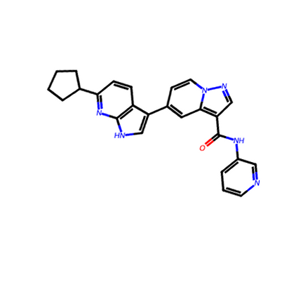 O=C(Nc1cccnc1)c1cnn2ccc(-c3c[nH]c4nc(C5CCCC5)ccc34)cc12